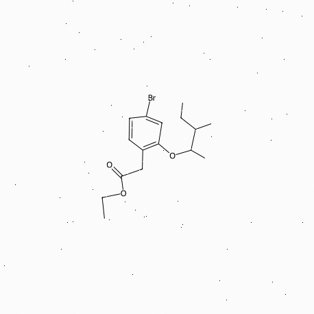 CCOC(=O)Cc1ccc(Br)cc1OC(C)C(C)CC